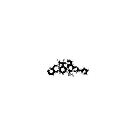 C[C@](C(=O)NCc1ncccc1F)(c1ccccc1)n1ncc2c1nc(N)n1nc(-c3ccco3)nc21